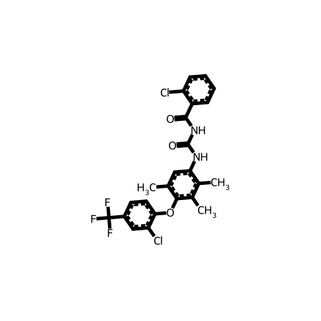 Cc1cc(NC(=O)NC(=O)c2ccccc2Cl)c(C)c(C)c1Oc1ccc(C(F)(F)F)cc1Cl